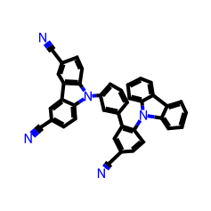 N#Cc1ccc(-n2c3ccccc3c3ccccc32)c(-c2cccc(-n3c4ccc(C#N)cc4c4cc(C#N)ccc43)c2)c1